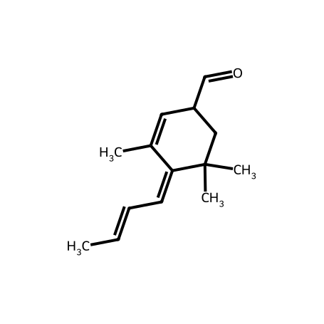 CC=CC=C1C(C)=CC(C=O)CC1(C)C